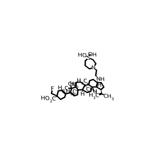 C=C(C)[C@@H]1CC[C@]2(NCCN3CCCS(O)(O)CC3)CC[C@]3(C)[C@H](CC[C@@H]4[C@@]5(C)CC=C(C6=CC[C@](CF)(C(=O)O)CC6)C(C)(C)[C@@H]5CC[C@]43C)[C@@H]12